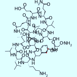 CC(=O)C[C@H](NC(C)=O)C(=O)N[C@@H](CCC(N)=O)C(=O)N[C@@H](CCC(=O)O)C(=O)N[C@@H](CCC(N)=O)C(=O)N[C@H](C(=O)N[C@@H](CO)C(=O)N1CCC[C@H]1C(=O)N[C@@H](Cc1ccc(O)cc1)C(=O)N[C@H](C(=O)N[C@@H](CC(C)C)C(=O)N[C@@H](CC(C)C)C(=O)N[C@@H](CCCCN)C(=O)NC(CCCCNC(=O)CON)C(N)=O)[C@H](C)O)C(C)C